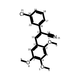 COc1cc(OC)c(OC)cc1/C=C(\C#N)c1cccc(Cl)c1